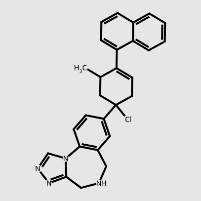 CC1CC(Cl)(c2ccc3c(c2)CNCc2nncn2-3)CC=C1c1cccc2ccccc12